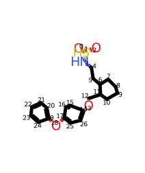 O=[SH](=O)NCCC1CCCCC1COc1ccc(Oc2ccccc2)cc1